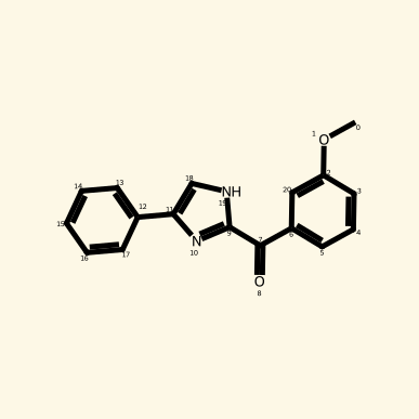 COc1cccc(C(=O)c2nc(-c3ccccc3)c[nH]2)c1